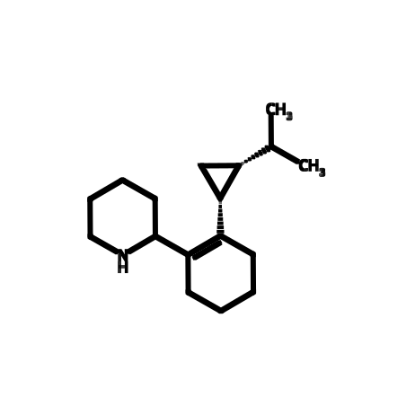 CC(C)[C@H]1C[C@H]1C1=C(C2CCCCN2)CCCC1